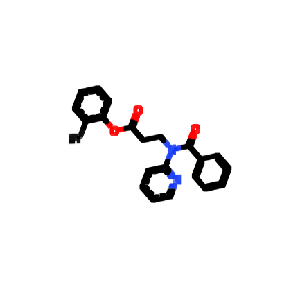 CC(C)c1ccccc1OC(=O)CCN(C(=O)C1=CC=C=C=C1)c1ccccn1